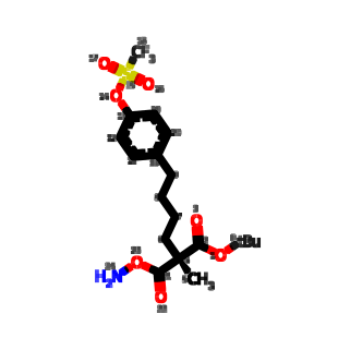 CC(C)(C)OC(=O)[C@@](C)(CCCCc1ccc(OS(=O)(=O)C(F)(F)F)cc1)C(=O)ON